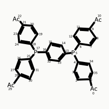 CC(=O)c1ccc(P(c2ccc(C(C)=O)cc2)c2ccc(P(c3ccc(C(C)=O)cc3)c3ccc(C(C)=O)cc3)cc2)cc1